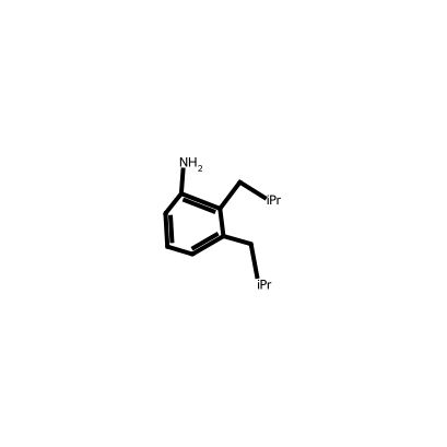 CC(C)Cc1cccc(N)c1CC(C)C